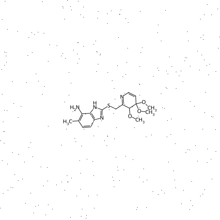 COC1C(CSc2nc3ccc(C)c(N)c3[nH]2)=NC=CC1(OC)OC